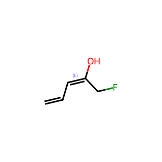 C=C/C=C(/O)CF